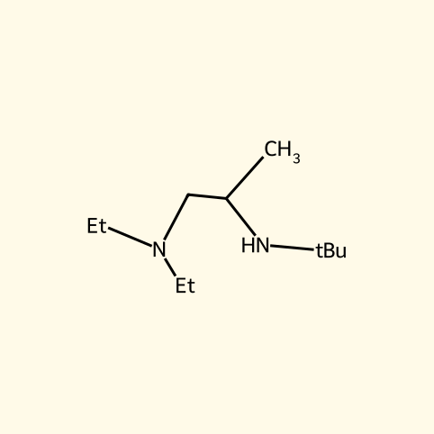 CCN(CC)CC(C)NC(C)(C)C